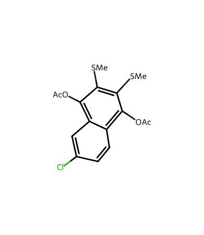 CSc1c(SC)c(OC(C)=O)c2cc(Cl)ccc2c1OC(C)=O